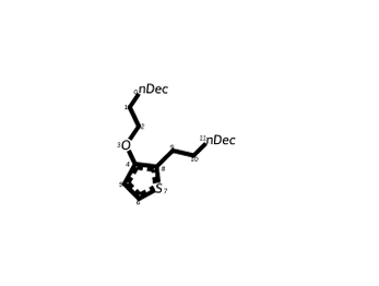 CCCCCCCCCCCCOc1ccsc1CCCCCCCCCCCC